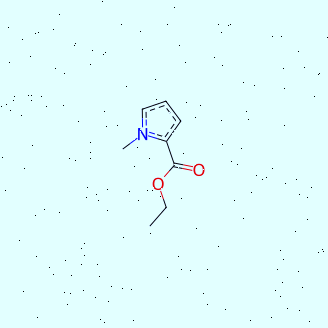 CCOC(=O)c1cccn1C